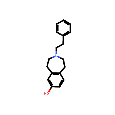 Oc1ccc2c(c1)CCN(CCc1ccccc1)CC2